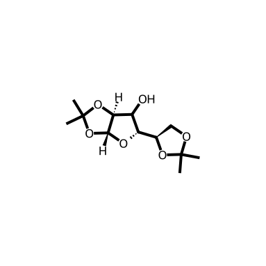 CC1(C)OC[C@H]([C@@H]2O[C@@H]3OC(C)(C)O[C@H]3C2O)O1